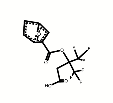 O=C(O)CC(OC(=O)c1cc2ccc1o2)(C(F)(F)F)C(F)(F)F